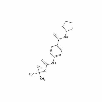 CC(C)(C)OC(=O)Nc1ccc(C(=O)NC2CCCC2)cc1